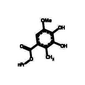 CCCOC(=O)c1cc(OC)c(O)c(O)c1C